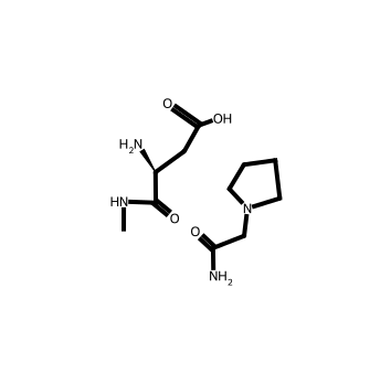 CNC(=O)[C@@H](N)CC(=O)O.NC(=O)CN1CCCC1